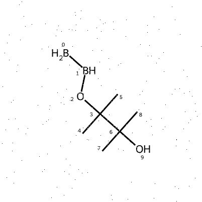 BBOC(C)(C)C(C)(C)O